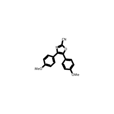 COc1ccc(-c2nc(C#N)oc2-c2ccc(OC)cc2)cc1